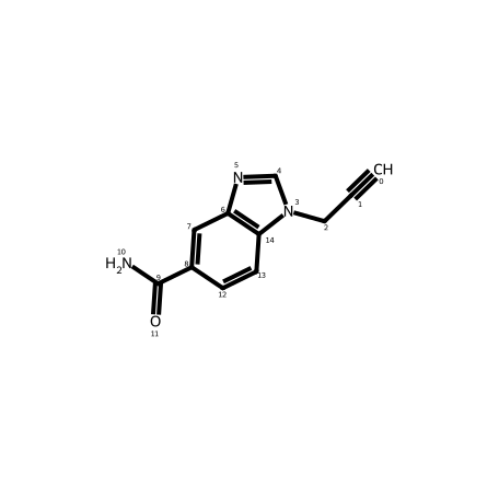 C#CCn1cnc2cc(C(N)=O)ccc21